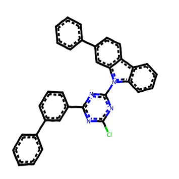 Clc1nc(-c2cccc(-c3ccccc3)c2)nc(-n2c3ccccc3c3ccc(-c4ccccc4)cc32)n1